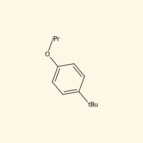 CC(C)Oc1ccc(C(C)(C)C)cc1